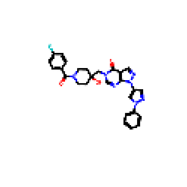 O=C(c1ccc(F)cc1)N1CCC(O)(Cn2cnc3c(cnn3-c3cnn(-c4ccccc4)c3)c2=O)CC1